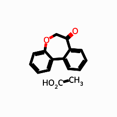 CC(=O)O.O=C1COc2ccccc2-c2ccccc21